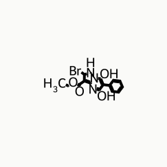 CCOC(=O)C1=C2N=C(O)C(c3ccccc3)=C(O)N2NC1Br